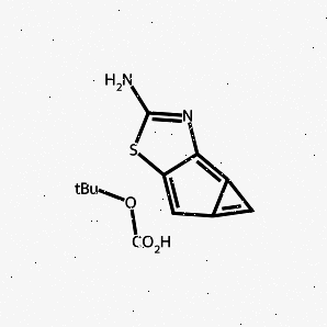 CC(C)(C)OC(=O)O.Nc1nc2c3cc-3cc2s1